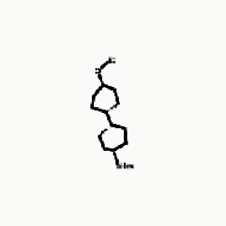 CCCCCC[C@H]1CC[C@H]([C@H]2CC[C@H](OCC)CC2)CC1